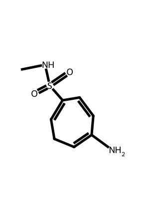 CNS(=O)(=O)C1=CCC=C(N)C=C1